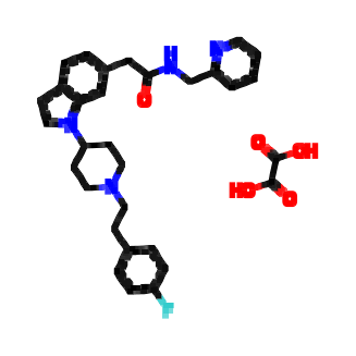 O=C(Cc1ccc2ccn(C3CCN(CCc4ccc(F)cc4)CC3)c2c1)NCc1ccccn1.O=C(O)C(=O)O